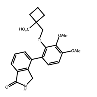 COc1ccc(-c2cccc3c2CNC3=O)c(OCC2(C(=O)O)CCC2)c1OC